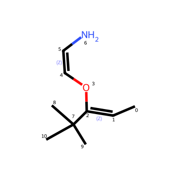 C/C=C(\O/C=C\N)C(C)(C)C